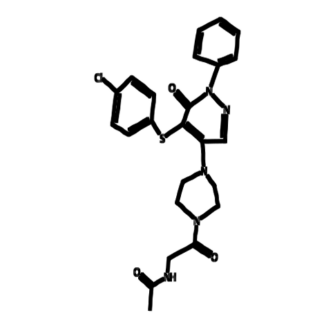 CC(=O)NCC(=O)N1CCN(c2cnn(-c3ccccc3)c(=O)c2Sc2ccc(Cl)cc2)CC1